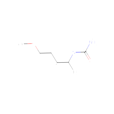 CCCOCCCC(CC)NC(N)=O